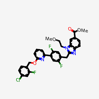 COCCn1c(Cc2cc(F)c(-c3cccc(OCc4ccc(Cl)cc4F)n3)cc2F)nc2ccc(C(=O)OC)cc21